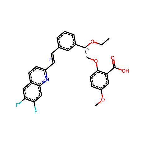 CCO[C@H](COc1ccc(OC)cc1C(=O)O)c1cccc(/C=C/c2ccc3cc(F)c(F)cc3n2)c1